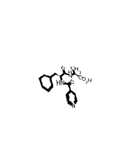 C[C@H](NC(=O)[C@H](CC1CCCCC1)NC(=O)c1ccncc1)C(=O)O